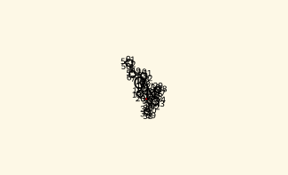 c1ccc(-c2cccc(-c3cccc4c3oc3c5ccccc5c(N(c5ccccc5)c5ccc(-c6ccccc6)c6ccccc56)cc43)c2)cc1